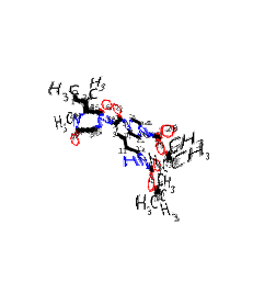 CC[C@H](C)[C@H]1C(=O)N([C@@H](CCCCNC(=O)OC(C)(C)C)C(=O)N2CCN(C(=O)OC(C)(C)C)CC2)CC(=O)N1C